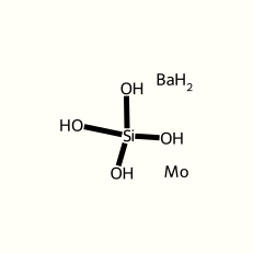 O[Si](O)(O)O.[BaH2].[Mo]